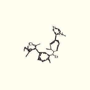 CCN(c1cc(-c2c(C)noc2C)ccc1C)C1C=CC(c2cncn2C)=CC1C